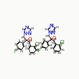 Fc1ccc(C2(Cn3cncn3)OC2c2ccccc2Cl)cc1.Fc1ccc(C2(Cn3cncn3)OC2c2ccccc2Cl)cc1